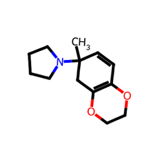 CC1(N2CCCC2)C=CC2=C(C1)OCCO2